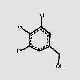 OCc1cc(F)c(Cl)c(Cl)c1